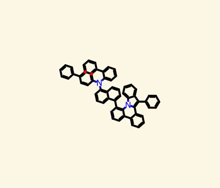 c1ccc(-c2ccc(N(c3ccccc3-c3ccccc3)c3cccc4c(-c5cccc6c7ccccc7c7c(-c8ccccc8)c8ccccc8n7c56)cccc34)cc2)cc1